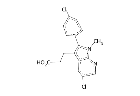 Cn1c(-c2ccc(Cl)cc2)c(CCC(=O)O)c2cc(Cl)cnc21